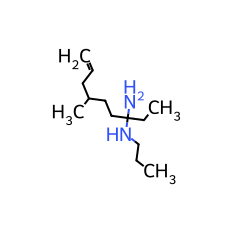 C=CCC(C)CCC(N)(CC)NCCC